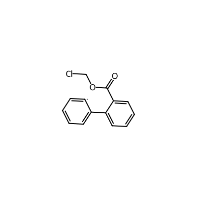 O=C(OCCl)c1ccccc1-c1[c]cccc1